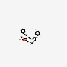 CNCC(=O)N[C@H](C(=O)N1CC(Oc2ccc(OC)cc2)C[C@H]1CCN(CCc1ccc(F)cc1)C(=O)c1cn(C)cn1)C(C)(C)C